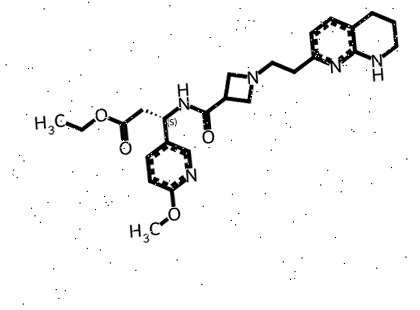 CCOC(=O)C[C@H](NC(=O)C1CN(CCc2ccc3c(n2)NCCC3)C1)c1ccc(OC)nc1